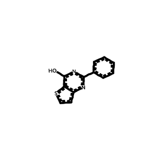 Oc1nc(-c2ccccc2)nc2ccsc12